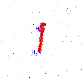 COc1nc(OCCOCCOCCOCCOCCOCCOCCOCCOCCN)nc(OC)c1NC(=O)c1ccc(Oc2cc3c(cc2C)CCC3(C)C)o1